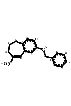 O=C(O)C1=Cc2cc(OCc3ccccc3)ccc2CCC1